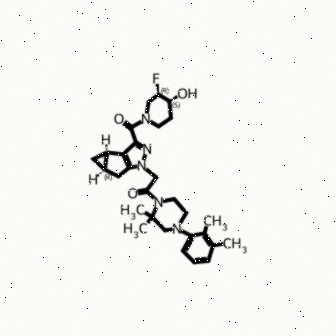 Cc1cccc(N2CCN(C(=O)Cn3nc(C(=O)N4CC[C@H](O)[C@H](F)C4)c4c3C[C@H]3C[C@@H]43)C(C)(C)C2)c1C